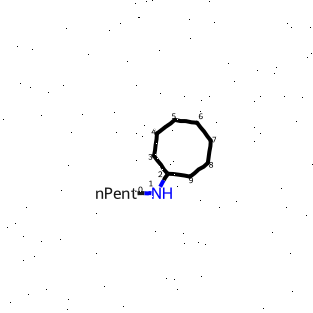 CCCCCNC1CCCCCCC1